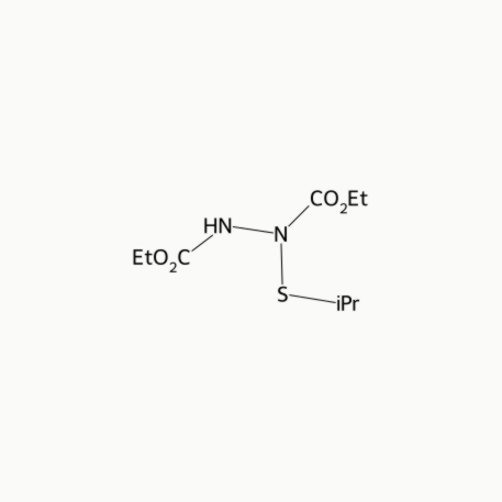 CCOC(=O)NN(SC(C)C)C(=O)OCC